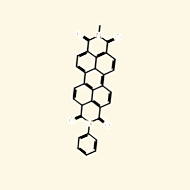 CN1C(=O)C2=CC=C3C4=c5c6c(ccc5=C5C=CC(=C2C35)C1=O)C(=O)N(c1ccccc1)C(=O)C6C=C4